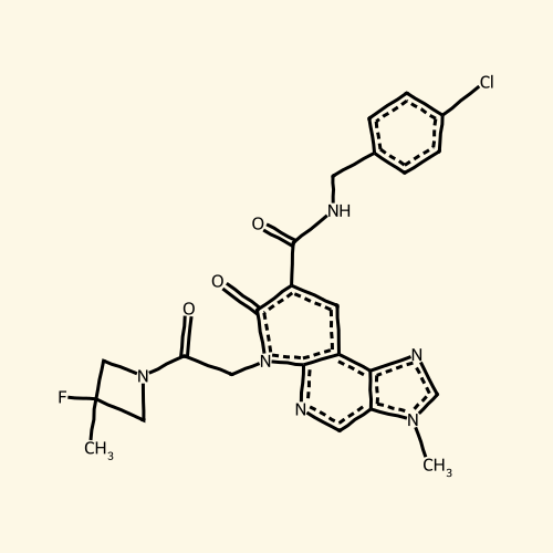 Cn1cnc2c3cc(C(=O)NCc4ccc(Cl)cc4)c(=O)n(CC(=O)N4CC(C)(F)C4)c3ncc21